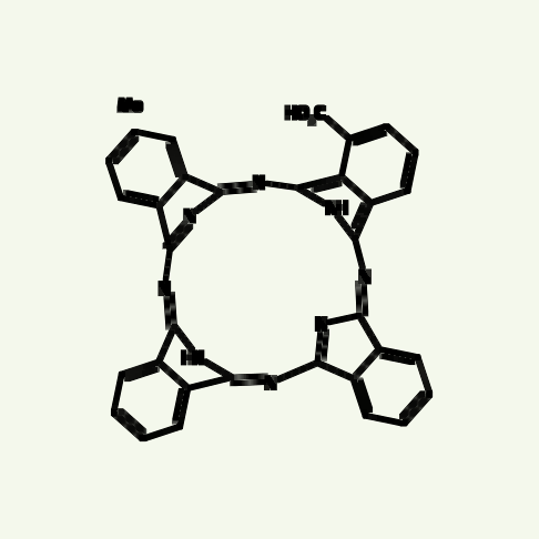 O=C(O)c1cccc2c3nc4nc(nc5[nH]c(nc6nc(nc([nH]3)c12)-c1ccccc1-6)c1ccccc51)-c1ccccc1-4.[Mo]